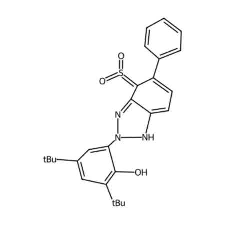 CC(C)(C)c1cc(-n2nc3c(=S(=O)=O)c(-c4ccccc4)ccc-3[nH]2)c(O)c(C(C)(C)C)c1